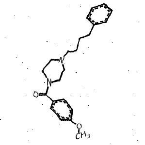 COc1ccc(C(=O)N2CCN(CCCCc3ccccc3)CC2)cc1